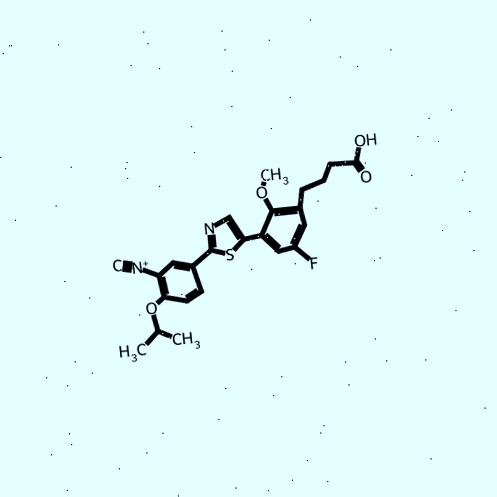 [C-]#[N+]c1cc(-c2ncc(-c3cc(F)cc(CCCC(=O)O)c3OC)s2)ccc1OC(C)C